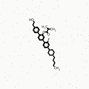 C=C(C)C(=O)Oc1cc(-c2ccc(C3CCC(CCCCC)CC3)cc2F)ccc1-c1ccc(CCO)cc1